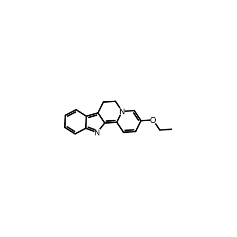 CCOC1=CN2CCC3=c4ccccc4=NC3=C2C=C1